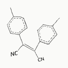 Cc1ccc(/C(C#N)=C(/C#N)c2ccc(C)cc2)cc1